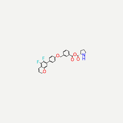 O=C(OC(=O)[C@@H]1CCCN1)c1cccc(COc2ccc(-c3cc4c(c(F)c3F)C=CCO4)cc2)c1